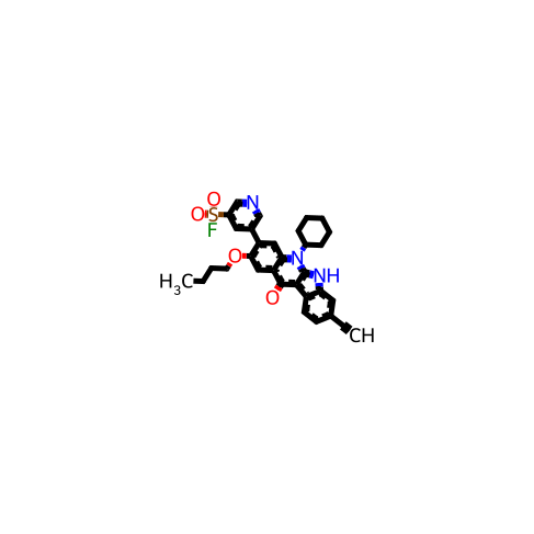 C#Cc1ccc2c(c1)[nH]c1c2c(=O)c2cc(OCCCC)c(-c3cncc(S(=O)(=O)F)c3)cc2n1C1CCCCC1